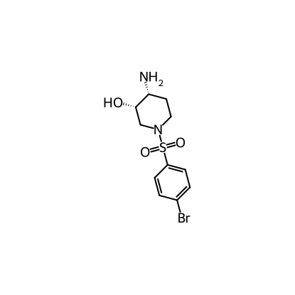 N[C@@H]1CCN(S(=O)(=O)c2ccc(Br)cc2)C[C@@H]1O